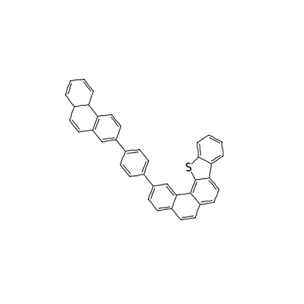 C1=CC2C=Cc3cc(-c4ccc(-c5ccc6ccc7ccc8c9ccccc9sc8c7c6c5)cc4)ccc3C2C=C1